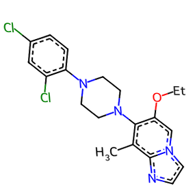 CCOc1cn2ccnc2c(C)c1N1CCN(c2ccc(Cl)cc2Cl)CC1